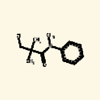 CN(C(=O)C(C)(C)CCl)c1ccccc1